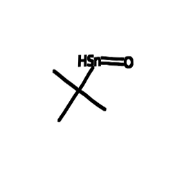 C[C](C)(C)[SnH]=[O]